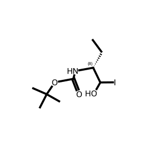 CC[C@@H](NC(=O)OC(C)(C)C)C(O)I